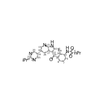 CCCS(=O)(=O)Nc1cccc(C(=O)c2c[nH]c3ncc(-c4cnc(C(C)C)nc4)cc23)c1F